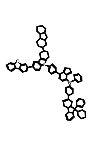 C1=CC2C3CC=C(C4CC=C(N(c5ccccc5)c5ccc(-c6ccc(-n7c8c(c9cc(-c%10ccc%11c(c%10)oc%10ccccc%10%11)ccc97)CC(C7CCC9C(C7)CC7CCCCC79)CC8)cc6)c6c5=CCC=6)CC4)CC3C(c3ccccc3)(C3CCCCC3)C2C=C1